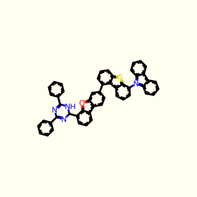 c1ccc(C2=NC(c3cccc4c3oc3cc(-c5cccc6sc7c(-n8c9ccccc9c9ccccc98)cccc7c56)ccc34)NC(c3ccccc3)=N2)cc1